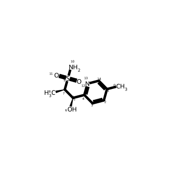 Cc1ccc([C@@H](O)[C@@H](C)S(N)(=O)=O)nc1